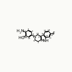 Nc1ccc(N2CCc3[nH]c4cc(F)ccc4c3C2)cc1O